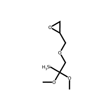 COC([SiH3])(COCC1CO1)OC